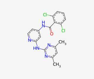 Cc1cc(C)nc(Nc2cc(NC(=O)c3c(Cl)cccc3Cl)ccn2)n1